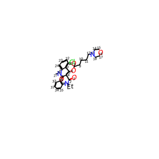 CCN(C(=O)c1c(OC(=O)CCCCN2CCOCC2)c2c(Cl)cccc2n(C)c1=O)c1ccccc1